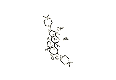 CC(=O)O[C@H]1C[C@@H]2CC[C@@H]3[C@H](CC[C@@]4(C)[C@H]3C[C@H](N3CC[N+](C)(C)CC3)[C@@H]4OC(C)=O)[C@@]2(C)C[C@@H]1N1CC[N+](C)(C)CC1.[Br-].[Br-]